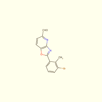 Cc1c(Br)cccc1-c1nc2nc(C=O)ccc2o1